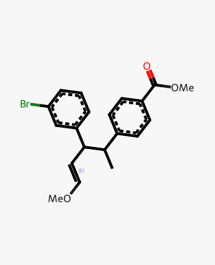 CO/C=C/C(c1cccc(Br)c1)C(C)c1ccc(C(=O)OC)cc1